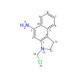 Nc1cc2c(c3ccccc13)CCN2CCl